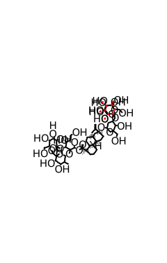 C=C1C[C@@]23CCC4[C@](C)(C(=O)OC5OC(CO)C(O)C(OC6OC(CO)C(O)C(O)C6O)C5OC5OC(CO)C(O)C(O)C5C)CCC[C@@]4(C)[C@@H]2CC[C@]1(OC1OC(CO)C(O)C(OC2OC(CO)C(O)C(O)C2O)C1OC1OC(CO)C(O)C(O)C1O)C3